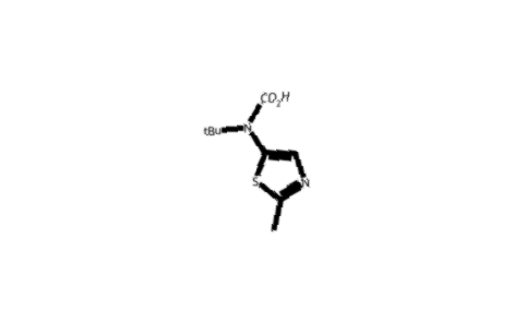 Cc1ncc(N(C(=O)O)C(C)(C)C)s1